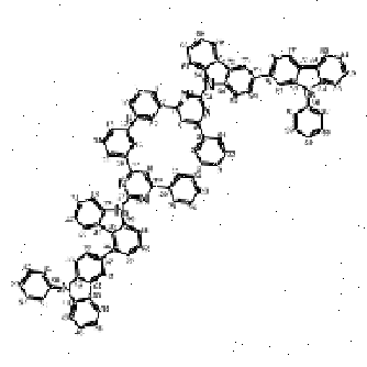 c1ccc(-c2cc(-c3cccc(-c4cccc(-c5cc(-c6ccccc6)nc(-n6c7ccccc7c7c(-c8ccc9c(c8)c8ccccc8n9-c8ccccc8)cccc76)n5)c4)c3)nc(-n3c4ccccc4c4cc(-c5ccc6c7ccccc7n(-c7ccccc7)c6c5)ccc43)n2)cc1